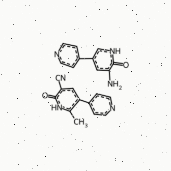 Cc1[nH]c(=O)c(C#N)cc1-c1ccncc1.Nc1cc(-c2ccncc2)c[nH]c1=O